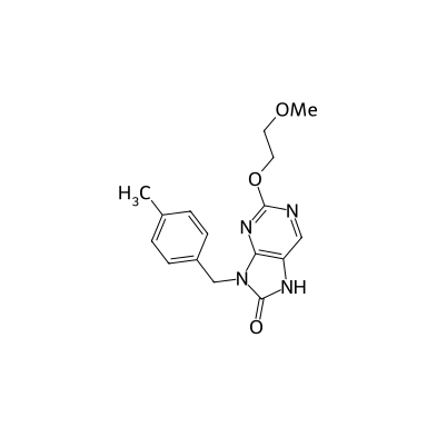 COCCOc1ncc2[nH]c(=O)n(Cc3ccc(C)cc3)c2n1